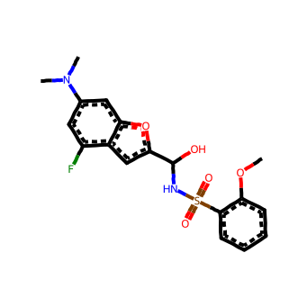 COc1ccccc1S(=O)(=O)NC(O)c1cc2c(F)cc(N(C)C)cc2o1